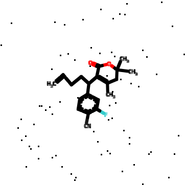 C=CCCC(C1=C(C)CC(C)(C)OC1=O)c1ccc(C#N)c(F)c1